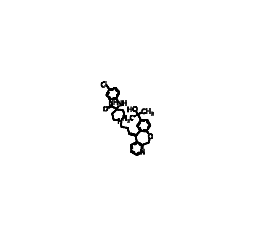 CC(C)(O)c1ccc2c(c1)/C(=C\CCN1CCC(Nc3ccc(Cl)cc3)(C(N)=O)CC1)c1cccnc1CO2